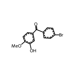 COc1ccc(C(=O)c2ccc(Br)cc2)cc1O